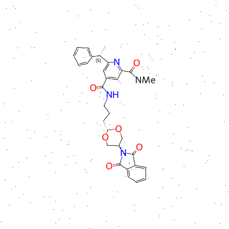 CNC(=O)c1cc(C(=O)NCCC[C@H]2OC[C@H](N3C(=O)c4ccccc4C3=O)CO2)cc([C@@H](C)c2ccccc2)n1